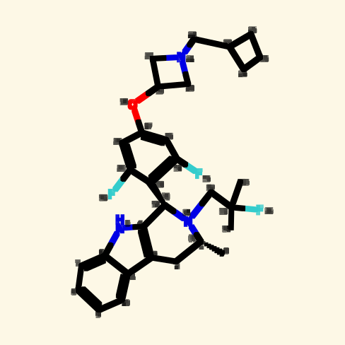 C[C@@H]1Cc2c([nH]c3ccccc23)[C@@H](c2c(F)cc(OC3CN(CC4CCC4)C3)cc2F)N1CC(C)(C)F